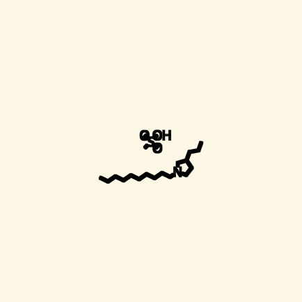 CCCCCCCCCCN1CCC(CCC)C1.CS(=O)(=O)O